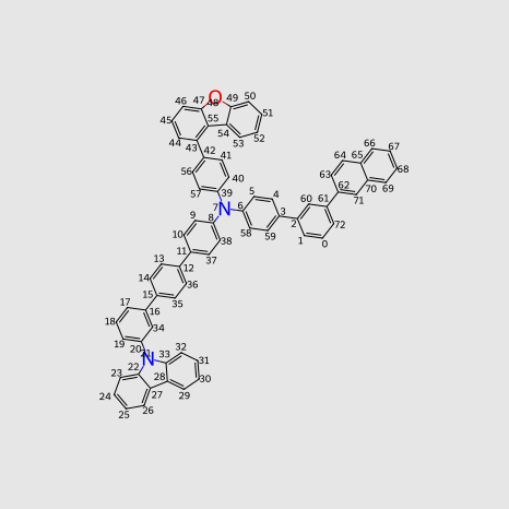 c1cc(-c2ccc(N(c3ccc(-c4ccc(-c5cccc(-n6c7ccccc7c7ccccc76)c5)cc4)cc3)c3ccc(-c4cccc5oc6ccccc6c45)cc3)cc2)cc(-c2ccc3ccccc3c2)c1